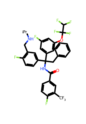 CC(C)NCc1cc(C(Cc2ccccc2)(NC(=O)c2ccc(F)c(C(F)(F)F)c2)c2cc(F)cc(OC(F)(F)C(F)F)c2)ccc1F